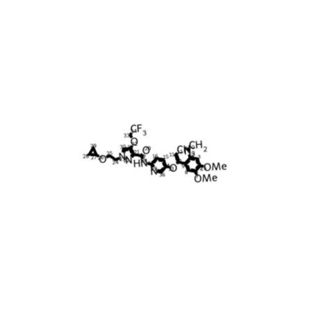 C=Nc1cc(OC)c(OC)cc1/C(=C\C)Oc1ccc(NC(=O)c2nn(CCOC3CC3)cc2OCC(F)(F)F)nc1